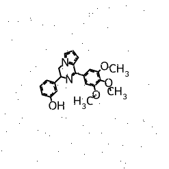 COc1cc(C2=NC(c3cccc(O)c3)Cn3cccc32)cc(OC)c1OC